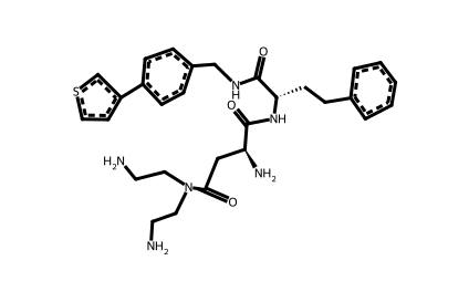 NCCN(CCN)C(=O)C[C@H](N)C(=O)N[C@@H](CCc1ccccc1)C(=O)NCc1ccc(-c2ccsc2)cc1